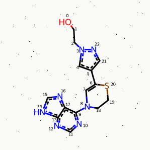 OCCn1cc(C2=CN(c3ncnc4[nH]cnc34)CCS2)cn1